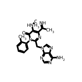 CNc1c(C(C)=N)nc(Cn2cnc3c(N)ncnc32)n(-c2ccccc2C)c1=O